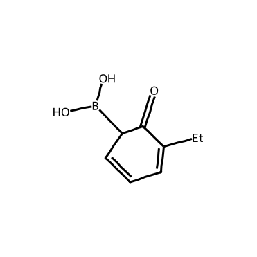 CCC1=CC=CC(B(O)O)C1=O